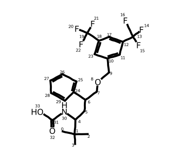 CC(C)(C)C(CC(COCc1cc(C(F)(F)F)cc(C(F)(F)F)c1)c1ccccc1)NC(=O)O